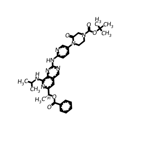 CC(C)Nc1nc([C@@H](C)OC(=O)c2ccccc2)cc2cnc(Nc3ccc(N4CCN(C(=O)OC(C)(C)C)CC4=O)cn3)nc12